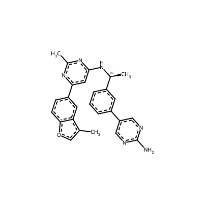 Cc1nc(N[C@@H](C)c2cccc(-c3cnc(N)nc3)c2)cc(-c2ccc3occ(C)c3c2)n1